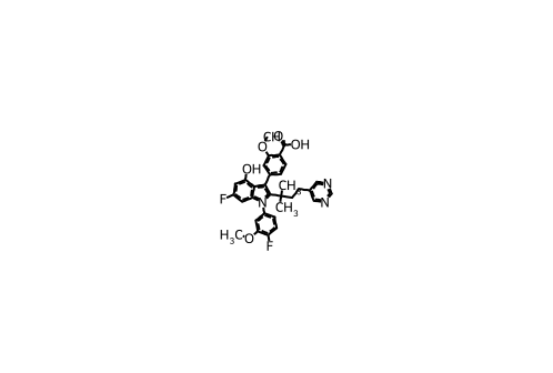 COc1cc(-n2c(C(C)(C)CCc3cncnc3)c(-c3ccc(C(=O)O)c(OC)c3)c3c(O)cc(F)cc32)ccc1F